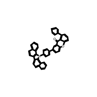 O=c1c2cc(-c3ccc(-n4c5c6ccccc6ccc5c5ccc6ccccc6c54)cc3)ccc2oc2cccc(-c3ccccc3)c12